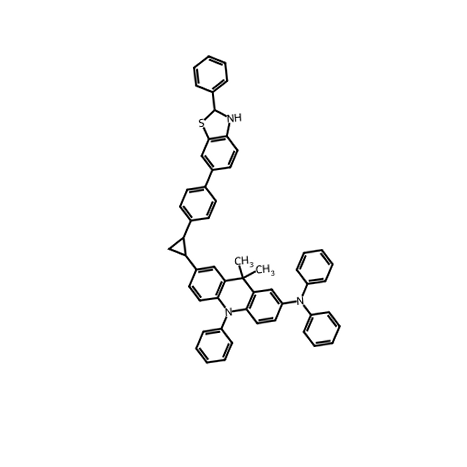 CC1(C)c2cc(C3CC3c3ccc(-c4ccc5c(c4)SC(c4ccccc4)N5)cc3)ccc2N(c2ccccc2)c2ccc(N(c3ccccc3)c3ccccc3)cc21